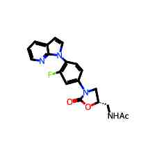 CC(=O)NC[C@H]1CN(c2ccc(-n3ccc4cccnc43)c(F)c2)C(=O)O1